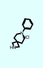 Cl.c1ccc(N2CCC3(CC2)CNC3)cc1